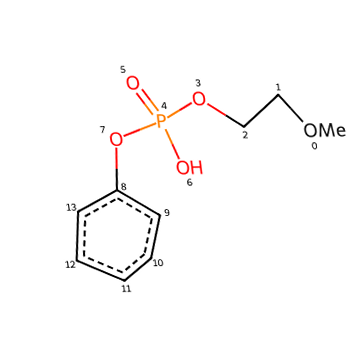 COCCOP(=O)(O)Oc1ccccc1